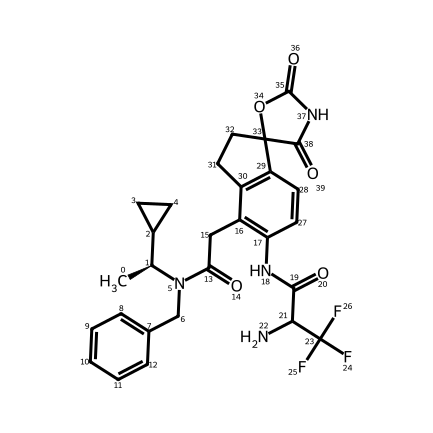 C[C@@H](C1CC1)N(Cc1ccccc1)C(=O)Cc1c(NC(=O)C(N)C(F)(F)F)ccc2c1CCC21OC(=O)NC1=O